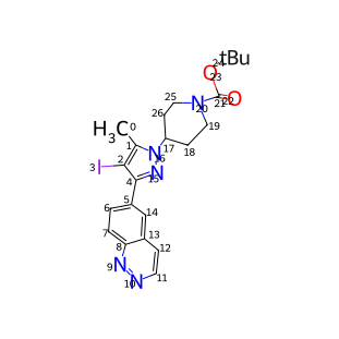 Cc1c(I)c(-c2ccc3nnccc3c2)nn1C1CCN(C(=O)OC(C)(C)C)CC1